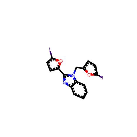 Ic1ccc(Cn2c(-c3ccc(I)o3)nc3ccccc32)o1